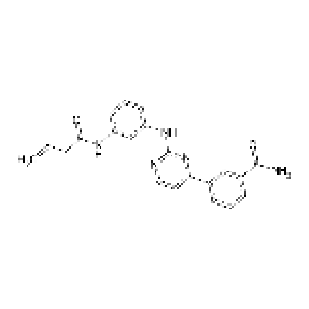 C=CCC(=O)Nc1cccc(Nc2nccc(-c3cccc(C(N)=O)c3)n2)c1